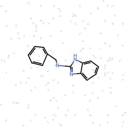 c1ccc(C[N]c2nc3ccccc3[nH]2)cc1